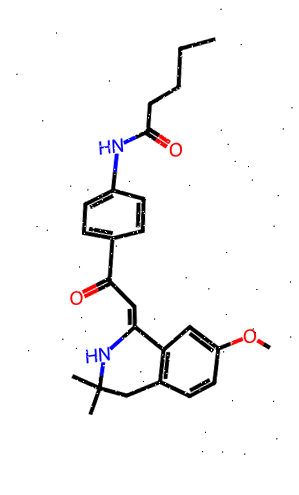 CCCCC(=O)Nc1ccc(C(=O)/C=C2\NC(C)(C)Cc3ccc(OC)cc32)cc1